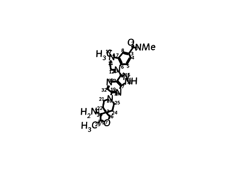 CNC(=O)c1ccc2c(c1)N(C)CCN2c1n[nH]c2nc(N3CCC4(CC3)CO[C@@H](C)[C@H]4N)cnc12